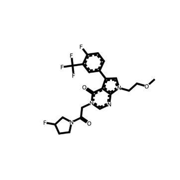 COCCn1cc(-c2ccc(F)c(C(F)(F)F)c2)c2c(=O)n(CC(=O)N3CCC(F)C3)cnc21